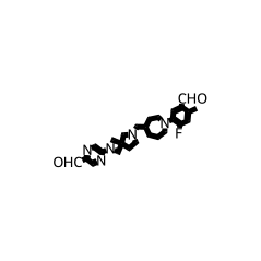 Cc1cc(F)c(N2CCCC(CN3CCC4(C3)CN(c3cnc(C=O)cn3)C4)CC2)cc1C=O